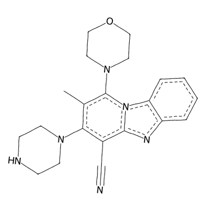 Cc1c(N2CCNCC2)c(C#N)c2nc3ccccc3n2c1N1CCOCC1